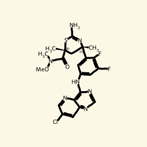 CON(C)C(=O)[C@@]1(C)C[C@@](C)(c2cc(Nc3ncnc4cc(Cl)cnc34)cc(F)c2F)N=C(N)S1